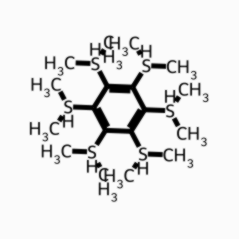 C[SH](C)c1c([SH](C)C)c([SH](C)C)c([SH](C)C)c([SH](C)C)c1[SH](C)C